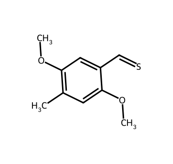 COc1cc(C=S)c(OC)cc1C